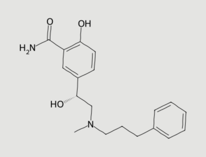 CN(CCCc1ccccc1)C[C@H](O)c1ccc(O)c(C(N)=O)c1